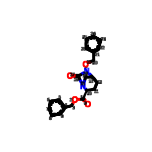 O=C(OCc1ccccc1)[C@@H]1CCC2CN1C(=O)N2OCc1ccccc1